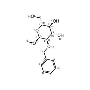 CO[C@H]1O[C@H](CO)[C@@H](O)[C@H](O)[C@H]1OCc1ccccc1